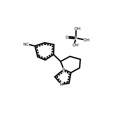 N#Cc1ccc(C2CCCc3cncn32)cc1.O=P(O)(O)O